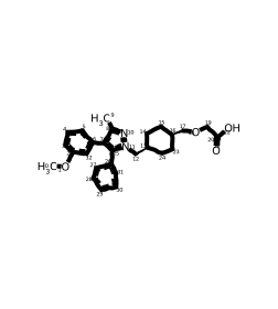 COc1cccc(-c2c(C)nn(C[C@H]3CC[C@@H](COCC(=O)O)CC3)c2-c2ccccc2)c1